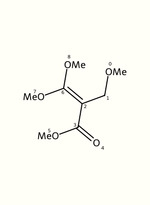 COCC(C(=O)OC)=C(OC)OC